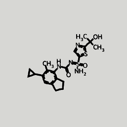 Cc1c(C2CC2)cc2c(c1NC(=O)N=[S@@](N)(=O)c1cnc(C(C)(C)O)s1)CCC2